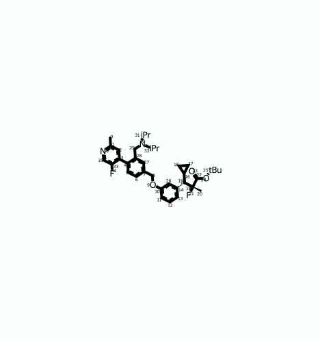 Cc1cc(-c2ccc(COc3cccc([C@H](C4CC4)[C@@](C)(F)C(=O)OC(C)(C)C)c3)cc2CN(C(C)C)C(C)C)c(F)cn1